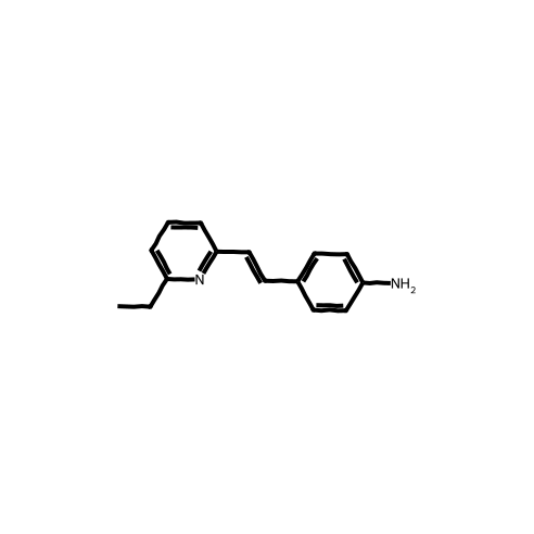 CCc1cccc(C=Cc2ccc(N)cc2)n1